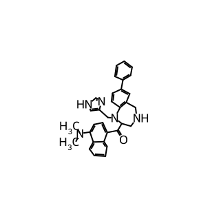 CN(C)c1ccc(C(=O)C2CNCc3cc(-c4ccccc4)ccc3N2Cc2c[nH]cn2)c2ccccc12